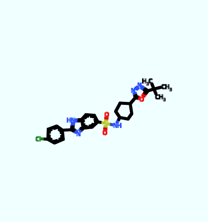 CC(C)(C)c1nnc(C2CCC(NS(=O)(=O)c3ccc4[nH]c(-c5ccc(Cl)cc5)nc4c3)CC2)o1